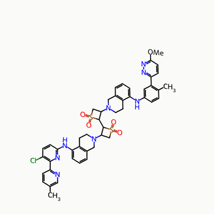 COc1ccc(-c2cc(Nc3cccc4c3CCN(C3CS(=O)(=O)C3C3C(N5CCc6c(cccc6Nc6ccc(Cl)c(-c7ccc(C)cn7)n6)C5)CS3(=O)=O)C4)ccc2C)nn1